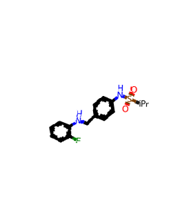 CC(C)S(=O)(=O)Nc1ccc(CNc2ccccc2F)cc1